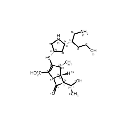 C[C@@H](O)[C@H]1C(=O)N2C(C(=O)O)=C(S[C@@H]3CN[C@H](C(CN)CCO)C3)[C@H](C)[C@H]12